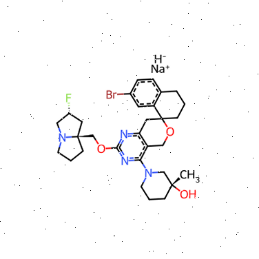 C[C@@]1(O)CCCN(c2nc(OC[C@@]34CCCN3C[C@H](F)C4)nc3c2COC2(CCCc4ccc(Br)cc42)C3)C1.[H-].[Na+]